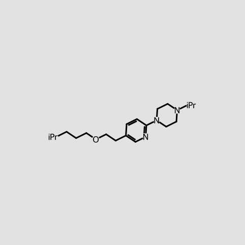 CC(C)CCCOCCc1ccc(N2CCN(C(C)C)CC2)nc1